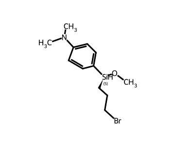 CO[Si@@H](CCCBr)c1ccc(N(C)C)cc1